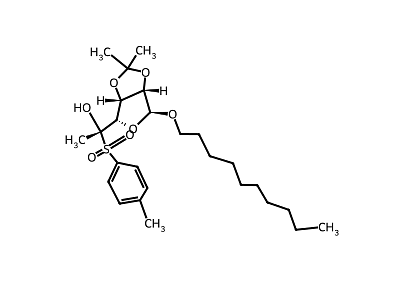 CCCCCCCCCCO[C@H]1O[C@H]([C@@](C)(O)S(=O)(=O)c2ccc(C)cc2)[C@@H]2OC(C)(C)O[C@H]12